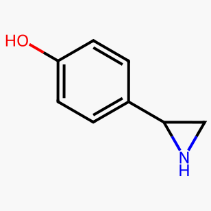 Oc1ccc(C2CN2)cc1